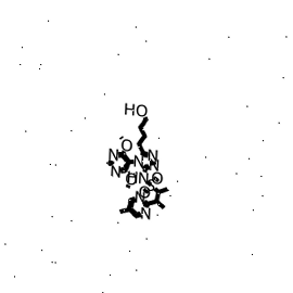 COc1ncnc(OC)c1-n1c(CCCCO)nnc1NS(=O)(=O)C(C)C(C)c1ncc(C)cn1